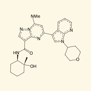 CNc1cc(-c2cn(C3CCOCC3)c3ncccc23)nc2c(C(=O)N[C@@H]3CCCC[C@@]3(C)O)cnn12